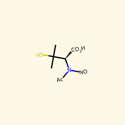 CC(=O)N(N=O)[C@H](C(=O)O)C(C)(C)S